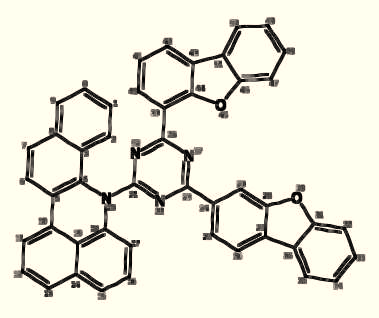 c1ccc2c3c(ccc2c1)-c1cccc2cccc(c12)N3c1nc(-c2ccc3c(c2)oc2ccccc23)nc(-c2cccc3c2oc2ccccc23)n1